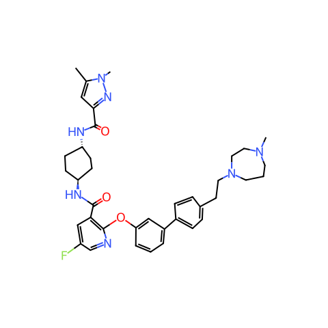 Cc1cc(C(=O)N[C@H]2CC[C@H](NC(=O)c3cc(F)cnc3Oc3cccc(-c4ccc(CCN5CCCN(C)CC5)cc4)c3)CC2)nn1C